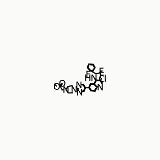 COC(=O)CN1CCN(c2ncc(-c3ccc4ncc(Cl)c(NC(c5ccccc5F)C(F)F)c4c3)cn2)CC1